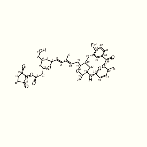 CC(/C=C/C1CC(CO)C[C@@H](CC(=O)ON2C(=O)CCC2=O)O1)=C\CC1OC(C)C(NC(=O)/C=C\C(C)OC(=O)c2ccc(F)cc2)CC1C